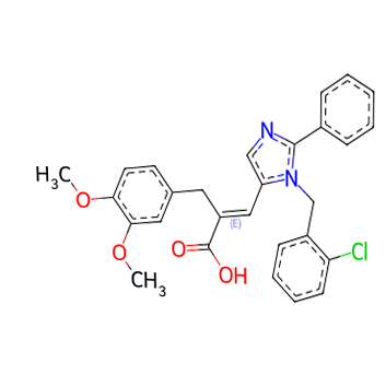 COc1ccc(C/C(=C\c2cnc(-c3ccccc3)n2Cc2ccccc2Cl)C(=O)O)cc1OC